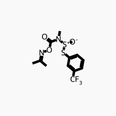 CC(C)=NOC(=O)N(C)[S+]([O-])Sc1cccc(C(F)(F)F)c1